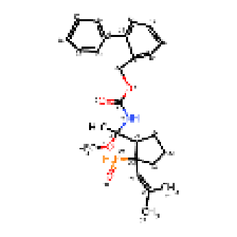 COC(C)(NC(=O)OCc1ccccc1-c1ccccc1)C1CCCC1(C=C(C)C)[PH2]=O